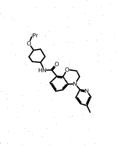 Cc1ccc(N2CCOc3c(C(=O)NC4CCC(OC(C)C)CC4)cccc32)nc1